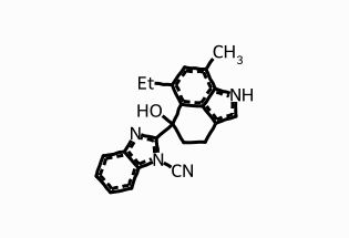 CCc1cc(C)c2[nH]cc3c2c1C(O)(c1nc2ccccc2n1C#N)CC3